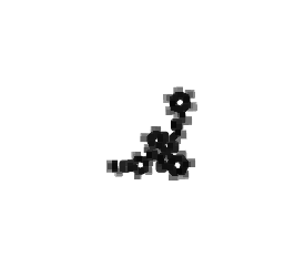 CN1CCC(OC(=O)C(OCCOCc2ccccc2)(c2ccccc2)c2ccco2)C1